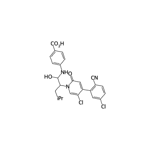 CC(C)CC(C(O)Nc1ccc(C(=O)O)cc1)n1cc(Cl)c(-c2cc(Cl)ccc2C#N)cc1=O